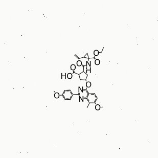 C=CC1CC1(NC(=O)C1CC(Oc2nc(-c3ccc(OC)cc3)nc3c(C)c(OC)ccc23)CC1C(=O)O)C(=O)OCC